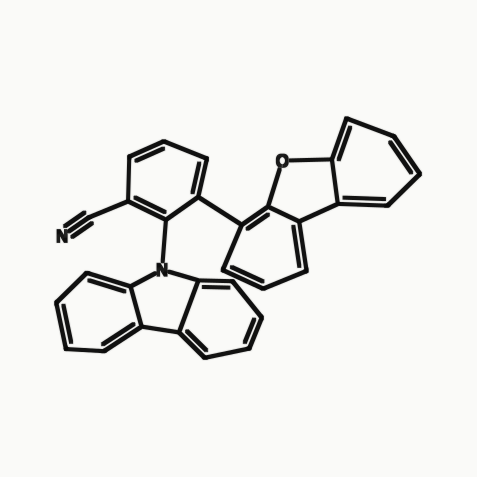 N#Cc1cccc(-c2cccc3c2oc2ccccc23)c1-n1c2ccccc2c2ccccc21